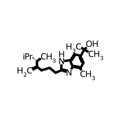 C=C(CCCc1nc2c(C)cc(C(C)(C)O)cc2[nH]1)[C@@H](C)C(C)C